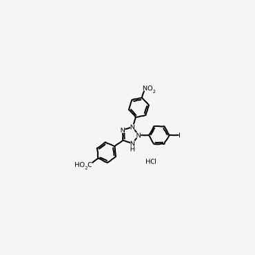 Cl.O=C(O)c1ccc(C2=NN(c3ccc([N+](=O)[O-])cc3)N(c3ccc(I)cc3)N2)cc1